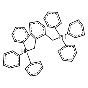 c1ccc([PH](Cc2ccccc2C[PH](c2ccccc2)(c2ccccc2)c2ccccc2)(c2ccccc2)c2ccccc2)cc1